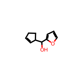 OC(c1ccco1)C1C=CCC1